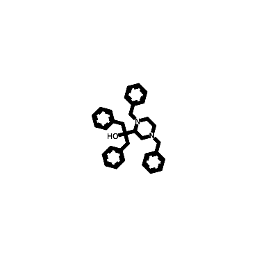 OC(Cc1ccccc1)(Cc1ccccc1)C1CN(Cc2ccccc2)CCN1Cc1ccccc1